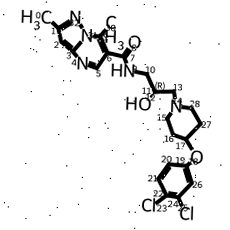 Cc1cc2ncc(C(=O)NC[C@@H](O)CN3CCC(Oc4ccc(Cl)c(Cl)c4)CC3)c(C)n2n1